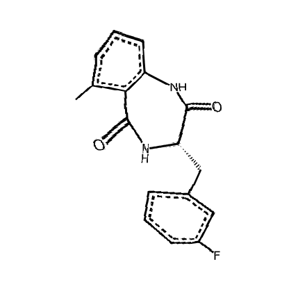 Cc1cccc2c1C(=O)N[C@@H](Cc1cccc(F)c1)C(=O)N2